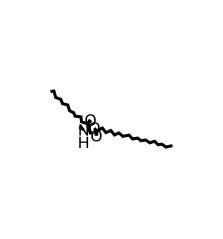 CCCCCCCCCCCCCCCCCC(=O)OC(C)(NC)C(=O)CCCCCCCCCCC